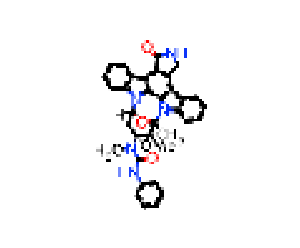 CO[C@@H]1[C@H](N(C)C(=O)Nc2ccccc2)C[C@H]2O[C@]1(C)n1c3ccccc3c3c4c(c5c6ccccc6n2c5c31)C(=O)NC4